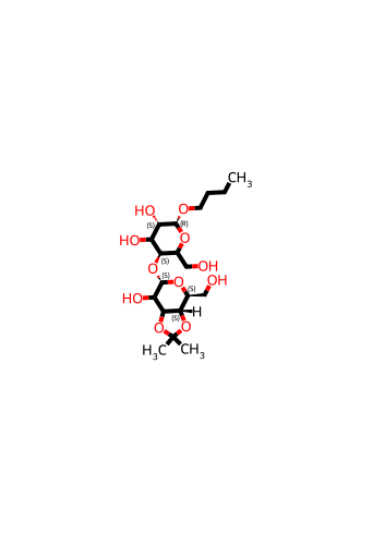 CCCCO[C@@H]1OC(CO)[C@@H](O[C@@H]2O[C@@H](CO)[C@@H]3OC(C)(C)OC3C2O)C(O)[C@@H]1O